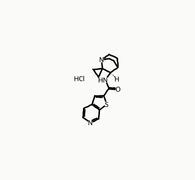 Cl.O=C(N[C@@H]1C2CCN(CC2)C12CC2)c1cc2ccncc2s1